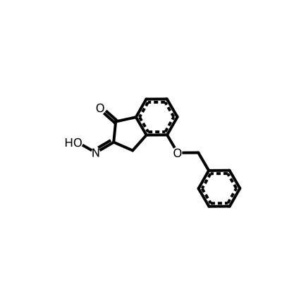 O=C1/C(=N\O)Cc2c(OCc3ccccc3)cccc21